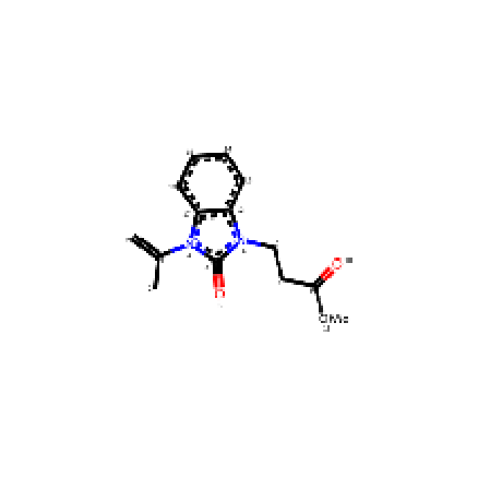 C=C(C)n1c(=O)n(CCC(=O)OC)c2ccccc21